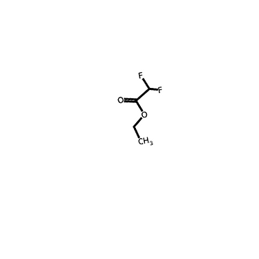 CCOC(=O)[C](F)F